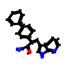 NC(=O)/C(=C\c1c[nH]c2ncccc12)c1ccc(-c2ccccc2)cc1